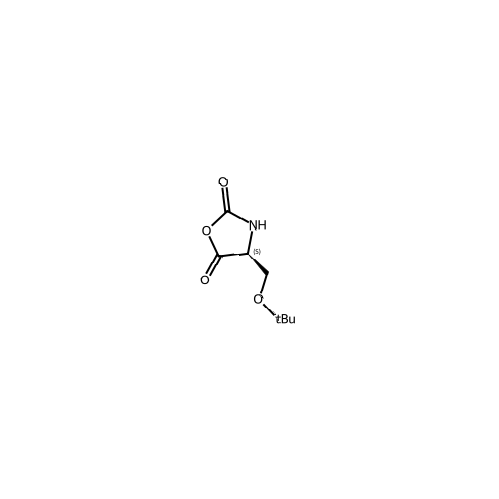 CC(C)(C)OC[C@@H]1NC(=O)OC1=O